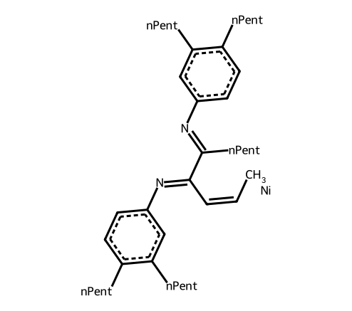 C\C=C/C(=N\c1ccc(CCCCC)c(CCCCC)c1)C(/CCCCC)=N/c1ccc(CCCCC)c(CCCCC)c1.[Ni]